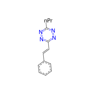 CCCc1nnc(/C=C/c2ccccc2)nn1